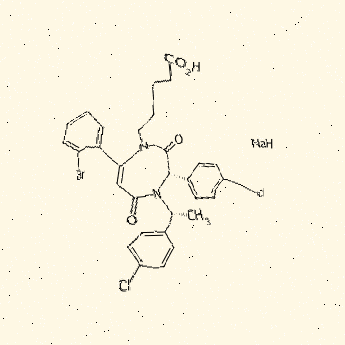 C[C@H](c1ccc(Cl)cc1)N1C(=O)C=C(c2ccccc2Br)N(CCCCC(=O)O)C(=O)[C@@H]1c1ccc(Cl)cc1.[NaH]